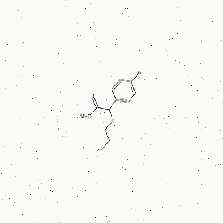 COC(=O)C(SCCC(C)=O)c1ccc(Br)cc1